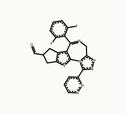 O=CC1Cc2sc3c(c2C1)C(c1c(F)cccc1F)=NCc1nnc(-c2cccnn2)n1-3